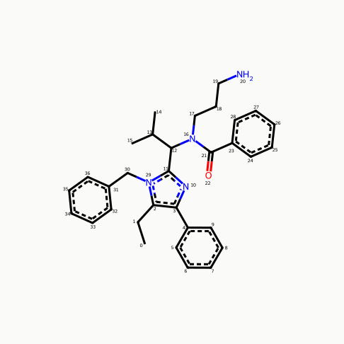 CCc1c(-c2ccccc2)nc(C(C(C)C)N(CCCN)C(=O)c2ccccc2)n1Cc1ccccc1